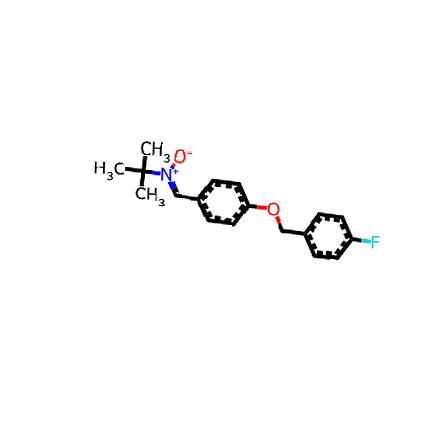 CC(C)(C)[N+]([O-])=Cc1ccc(OCc2ccc(F)cc2)cc1